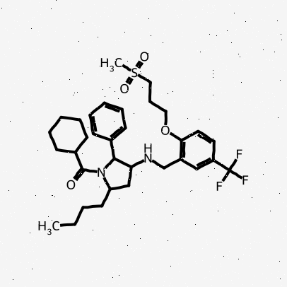 CCCCC1CC(NCc2cc(C(F)(F)F)ccc2OCCCS(C)(=O)=O)C(c2ccccc2)N1C(=O)C1CCCCC1